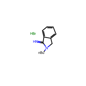 Br.CCCCN1Cc2ccccc2C1=N